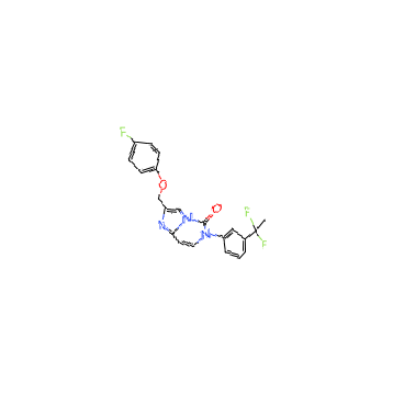 CC(F)(F)c1cccc(-n2ccc3nc(COc4ccc(F)cc4)cn3c2=O)c1